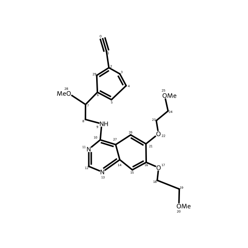 C#Cc1cccc(C(CNc2ncnc3cc(OCCOC)c(OCCOC)cc23)OC)c1